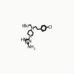 CC(C)(C)CN(CCc1ccc(Cl)cc1)C1CCN(c2nc(N)n[nH]2)CC1